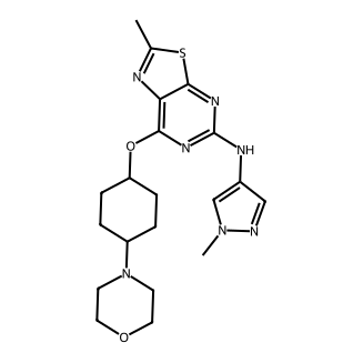 Cc1nc2c(OC3CCC(N4CCOCC4)CC3)nc(Nc3cnn(C)c3)nc2s1